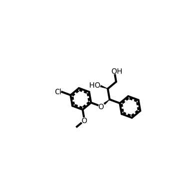 COc1cc(Cl)ccc1O[C@H](c1ccccc1)[C@@H](O)CO